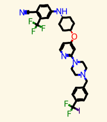 N#Cc1ccc(N[C@H]2CC[C@H](Oc3ccnc(N4CCN(Cc5ccc(C(F)(F)I)cc5)CC4)c3)CC2)cc1C(F)(F)F